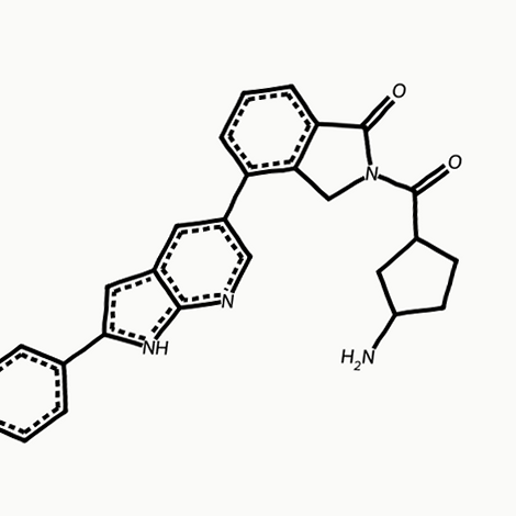 NC1CCC(C(=O)N2Cc3c(cccc3-c3cnc4[nH]c(-c5ccccc5)cc4c3)C2=O)C1